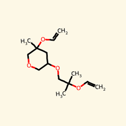 C=COC(C)(C)COC1COCC(C)(OC=C)C1